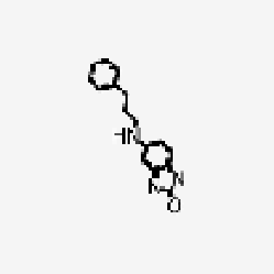 O=C1N=c2ccc(NCCCc3ccccc3)cc2=N1